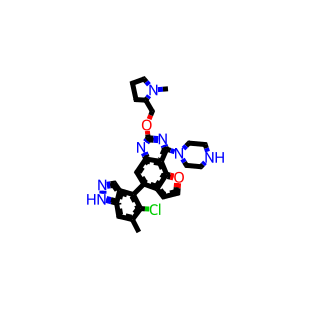 Cc1cc2[nH]ncc2c(-c2cc3nc(OCC4CCCN4C)nc(N4CCNCC4)c3c3occc23)c1Cl